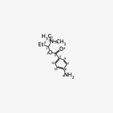 CCC(OC(=O)c1ccc(N)cc1)N(C)C